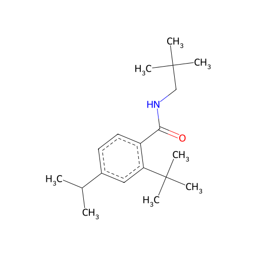 CC(C)c1ccc(C(=O)NCC(C)(C)C)c(C(C)(C)C)c1